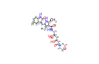 Cc1[nH]c(/C=C2\C(=O)Nc3ccc(F)cc32)c(C)c1C(=O)NC[C@@H](O)C[C@@H](O)CC(=O)N1CCOCC1